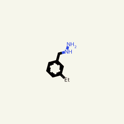 CCc1cccc(CNN)c1